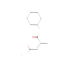 C/C(=C/C(=O)O)C(=O)OC1CCCCC1